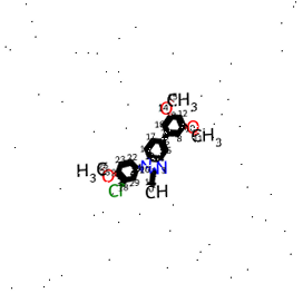 C#Cc1nc2cc(-c3cc(OC)cc(OC)c3)ccc2n1-c1ccc(OC)c(Cl)c1